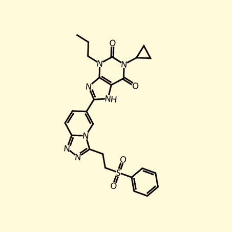 CCCn1c(=O)n(C2CC2)c(=O)c2[nH]c(-c3ccc4nnc(CCS(=O)(=O)c5ccccc5)n4c3)nc21